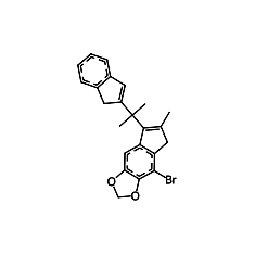 CC1=C(C(C)(C)C2=Cc3ccccc3C2)c2cc3c(c(Br)c2C1)OCO3